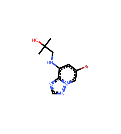 CC(C)(O)CNc1cc(Br)cn2ncnc12